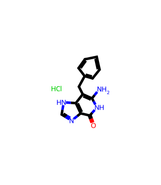 Cl.Nc1[nH]c(=O)c2nc[nH]c2c1Cc1ccccc1